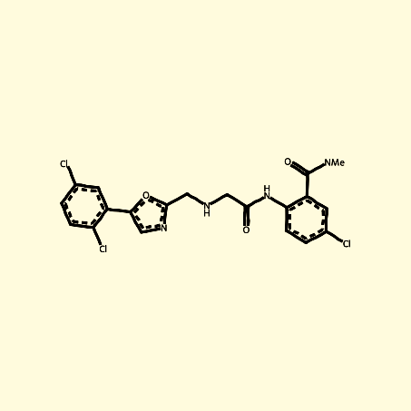 CNC(=O)c1cc(Cl)ccc1NC(=O)CNCc1ncc(-c2cc(Cl)ccc2Cl)o1